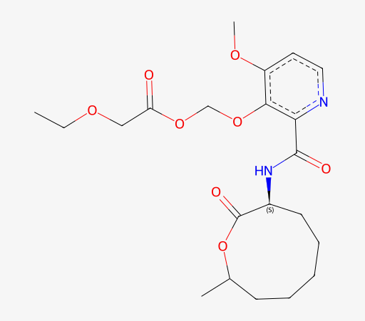 CCOCC(=O)OCOc1c(OC)ccnc1C(=O)N[C@H]1CCCCCC(C)OC1=O